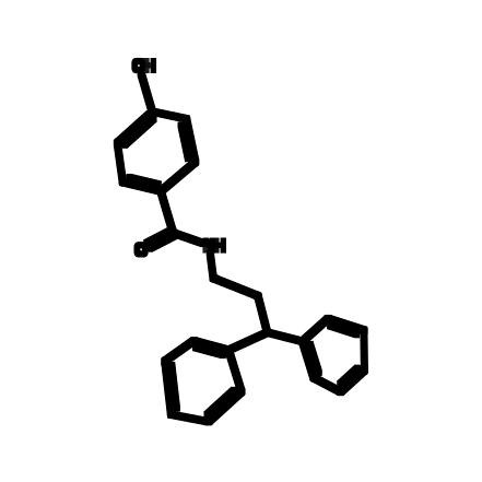 O=C(NCCC(c1ccccc1)c1ccccc1)c1ccc(O)cc1